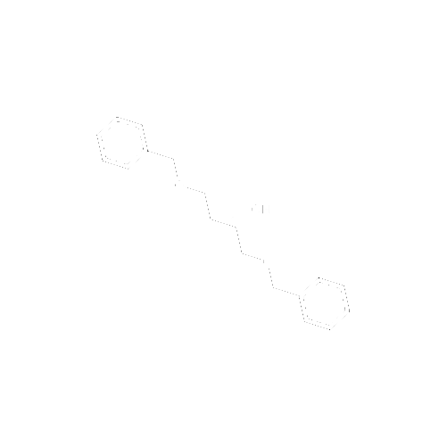 O[C@@H](CCOCc1ccccc1)COCc1ccccc1